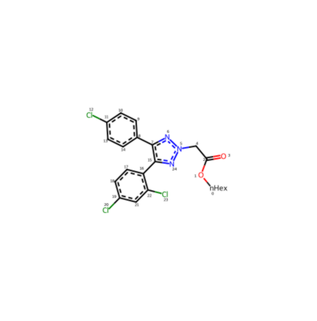 CCCCCCOC(=O)Cn1nc(-c2ccc(Cl)cc2)c(-c2ccc(Cl)cc2Cl)n1